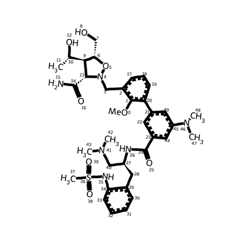 COc1c(CN2O[C@@H](CO)[C@H]([C@H](C)O)[C@H]2C(N)=O)cccc1-c1cc(C(=O)N[C@@H](Cc2ccccc2NS(C)(=O)=O)CN(C)C)cc(N(C)C)c1